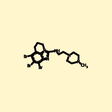 CN1CCN(CCNc2nc3c(Br)c(Br)c(Br)c4c3n2CCC4)CC1